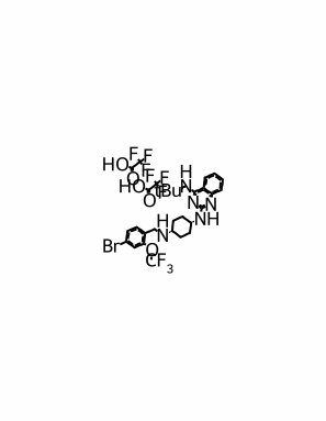 CC(C)(C)Nc1nc(N[C@H]2CC[C@@H](NCc3ccc(Br)cc3OC(F)(F)F)CC2)nc2ccccc12.O=C(O)C(F)(F)F.O=C(O)C(F)(F)F